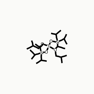 CC(C)C[O][Ti]([O]CC(C)C)([O][Si](C(C)C)(C(C)C)C(C)C)[O][Si](C(C)C)(C(C)C)C(C)C